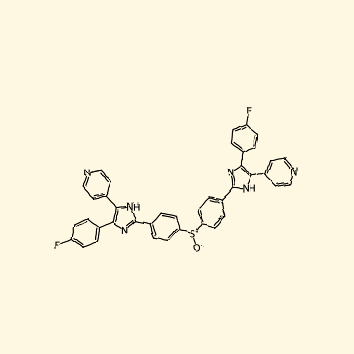 [O-][S+](c1ccc(-c2nc(-c3ccc(F)cc3)c(-c3ccncc3)[nH]2)cc1)c1ccc(-c2nc(-c3ccc(F)cc3)c(-c3ccncc3)[nH]2)cc1